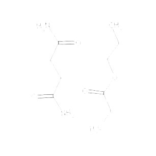 CCCOC(=O)CC.NC(=O)CCC(N)=O